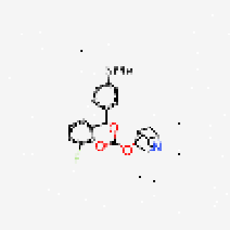 CSc1ccc(C(OC(=O)OC2CN3CCC2CC3)c2cccc(F)c2)cc1